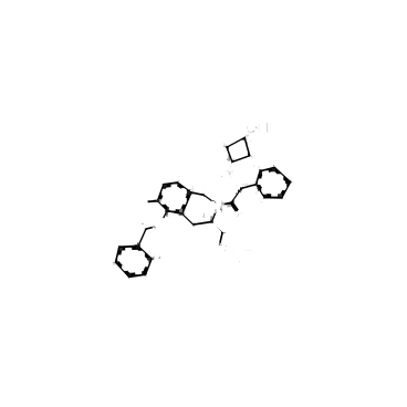 Cc1ccc2c(c1OCc1ccccc1)C[C@H](CC(=O)O)N(C(=O)[C@H](O[C@H]1C[C@@H](O)C1)c1ccccc1)C2